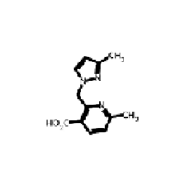 Cc1ccc(C(=O)O)c(Cn2ccc(C)n2)n1